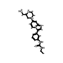 CCNC(=O)Nc1cccc(-c2cnc3cc(N4CCOC(CO)C4)ccn23)c1